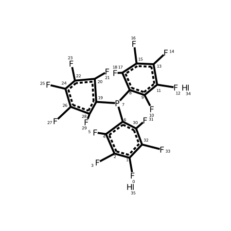 Fc1c(F)c(F)c(P(c2c(F)c(F)c(F)c(F)c2F)c2c(F)c(F)c(F)c(F)c2F)c(F)c1F.I.I